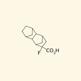 O=C(O)C1(F)CC2CC1C1C3CCC(C3)C21